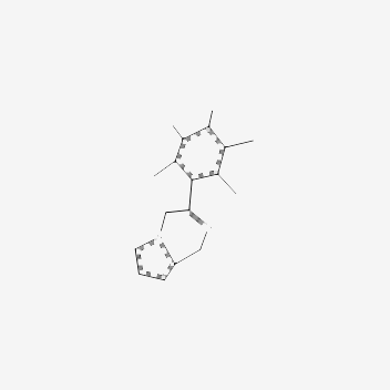 Cc1c(C)c(C)c(C2=NCc3cccn3C2)c(C)c1C